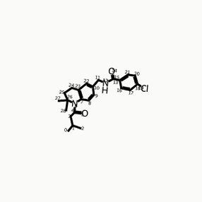 CC(C)CC(=O)N1c2ccc(CNC(=O)c3ccc(Cl)cc3)cc2CCC1(C)C